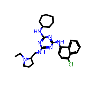 CCN1CCCC1CNc1nc(Nc2ccc(Cl)c3ccccc23)nc(NC2CCCCCC2)n1